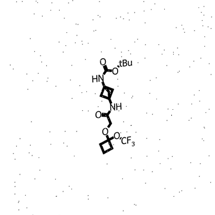 CC(C)(C)OC(=O)NC12CC(NC(=O)COC3(OC(F)(F)F)CCC3)(C1)C2